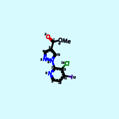 COC(=O)c1cnn(-c2nccc(I)c2Cl)c1